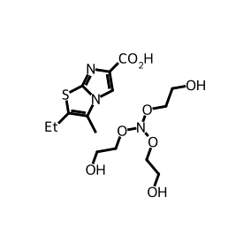 CCc1sc2nc(C(=O)O)cn2c1C.OCCON(OCCO)OCCO